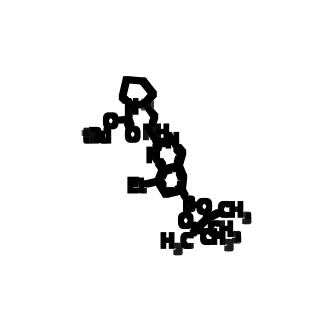 CCc1cc(B2OC(C)(C)C(C)(C)O2)cc2cnc(NC[C@@H]3CCCCN3C(=O)OC(C)(C)C)nc12